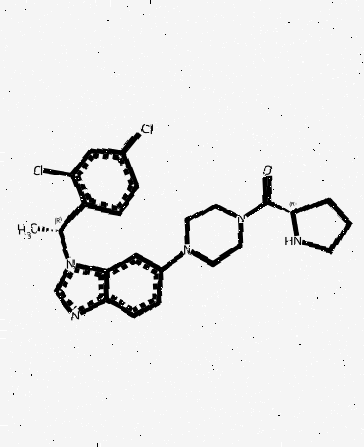 C[C@H](c1ccc(Cl)cc1Cl)n1cnc2ccc(N3CCN(C(=O)[C@H]4CCCN4)CC3)cc21